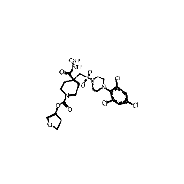 O=C(O[C@H]1CCOC1)N1CCC(CS(=O)(=O)N2CCN(c3c(Cl)cc(Cl)cc3Cl)CC2)(C(=O)NO)CC1